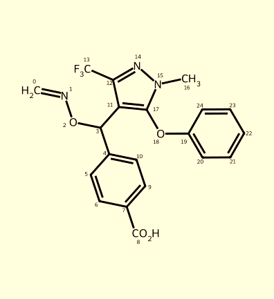 C=NOC(c1ccc(C(=O)O)cc1)c1c(C(F)(F)F)nn(C)c1Oc1ccccc1